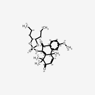 CCCCOP(=O)(OCCCC)OC1=C2C(C)(C)C(=O)C=CC2(C)c2cc(OC)ccc2C1=O